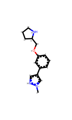 Cn1cc(-c2c[c]cc(OCC3CCCN3)c2)cn1